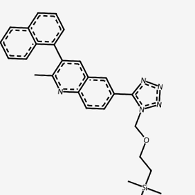 Cc1nc2ccc(-c3nnnn3COCC[Si](C)(C)C)cc2cc1-c1cccc2ccccc12